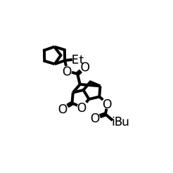 CCC(C)C(=O)OC1C2CC3C1OC(=O)C3C2C(=O)OC1(CC)CC2CCC1C2